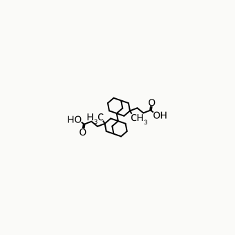 CC1(CCC(=O)O)CC2CCCC(C34CCCC(CC(C)(CCC(=O)O)C3)C4)(C2)C1